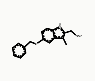 CNCc1[nH]c2ccc(OCc3ccccc3)cc2c1C